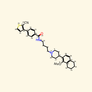 COc1c(C2CCN(CCCCNC(=O)c3ccc(-c4ccsc4C#N)cc3)CC2)ccc2c1CCCC2